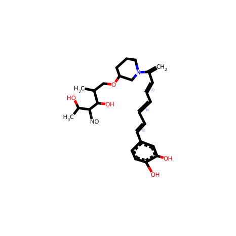 C=C(/C=C/C=C/C=C/c1ccc(O)c(O)c1)N1CCCC(OCC(C)C(O)C(N=O)C(C)O)C1